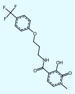 Cn1ccc(C(=O)NCCCOc2ccc(C(F)(F)F)cc2)c(O)c1=O